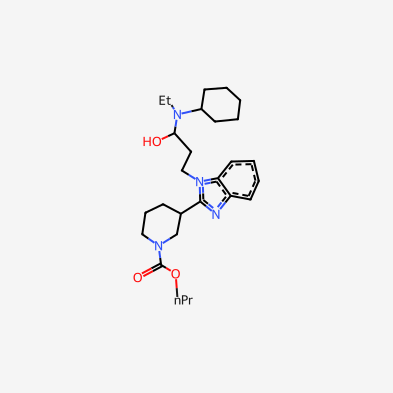 CCCOC(=O)N1CCCC(c2nc3ccccc3n2CCC(O)N(CC)C2CCCCC2)C1